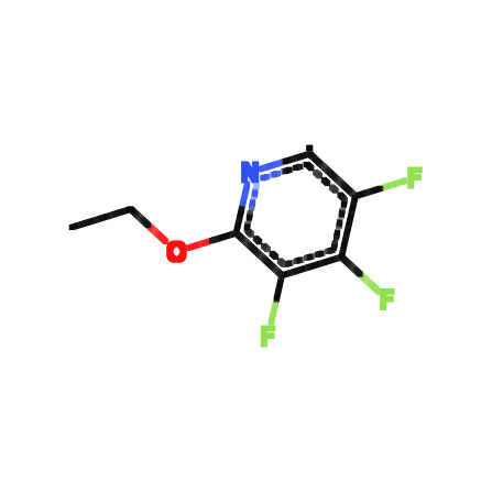 CCOc1n[c]c(F)c(F)c1F